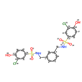 O=S(=O)(NCc1cccc(CNS(=O)(=O)c2ccc(O)c(Cl)c2)c1)c1ccc(O)c(Cl)c1